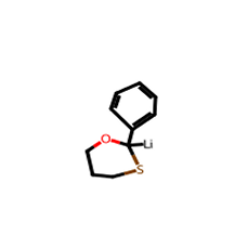 [Li][C]1(c2ccccc2)OCCCS1